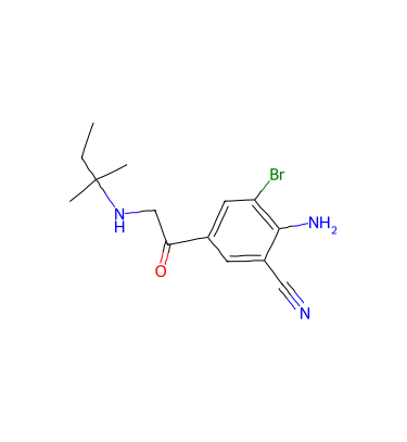 CCC(C)(C)NCC(=O)c1cc(Br)c(N)c(C#N)c1